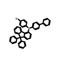 Brc1ccc(N(c2ccc(-c3ccccc3)cc2)c2cccc3c2-c2ccccc2C3(c2ccccc2)c2ccccc2)cc1